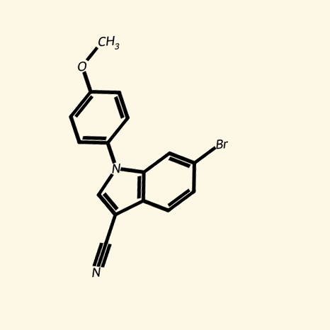 COc1ccc(-n2cc(C#N)c3ccc(Br)cc32)cc1